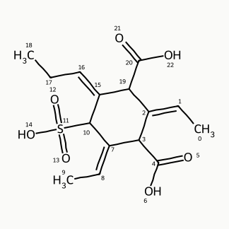 CC=C1C(C(=O)O)C(=CC)C(S(=O)(=O)O)C(=CCC)C1C(=O)O